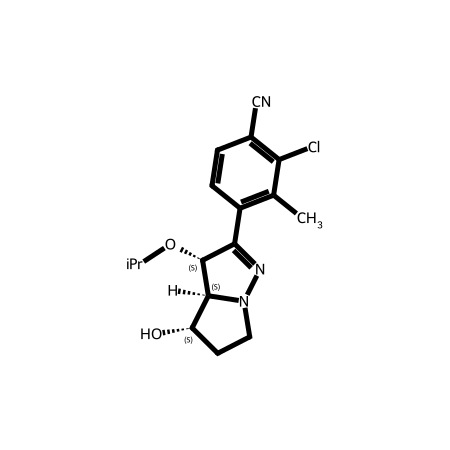 Cc1c(C2=NN3CC[C@H](O)[C@H]3[C@@H]2OC(C)C)ccc(C#N)c1Cl